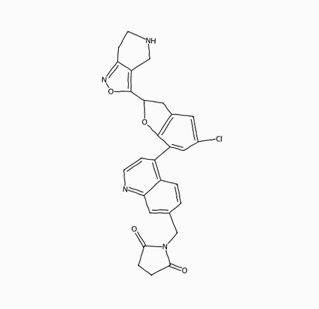 O=C1CCC(=O)N1Cc1ccc2c(-c3cc(Cl)cc4c3OC(c3onc5c3CNCC5)C4)ccnc2c1